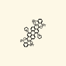 CC(C)c1cccc(C(C)C)c1N1C(=O)c2ccc3c4c(N5CCCC5)cc5c6c(ccc(c7c(N8CCCC8)cc(c2c37)C1=O)c64)C(=O)N(c1c(C(C)C)cccc1C(C)C)C5=O